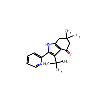 CC1(C)CC(=O)c2c([nH]c(-c3ccccn3)c2C(C)(C)C)C1